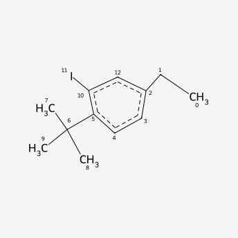 CCc1ccc(C(C)(C)C)c(I)c1